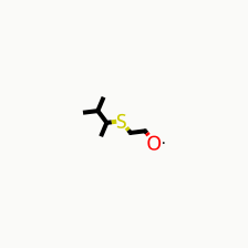 CC(C)C(C)SCC[O]